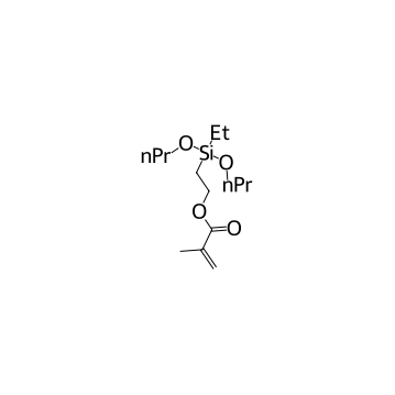 C=C(C)C(=O)OCC[Si](CC)(OCCC)OCCC